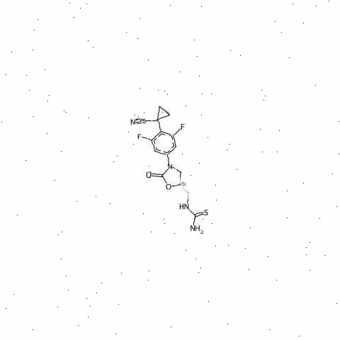 N#CC1(c2c(F)cc(N3C[C@H](CNC(N)=S)OC3=O)cc2F)CC1